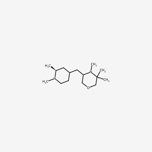 C[C@H]1CC(CC2COCC(C)(C)N2C)CCN1C